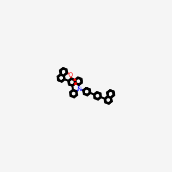 c1ccc(N(c2ccc(-c3ccc(-c4cccc5ccccc45)cc3)cc2)c2ccccc2-c2ccc3c(c2)-c2cccc4cccc(c24)O3)cc1